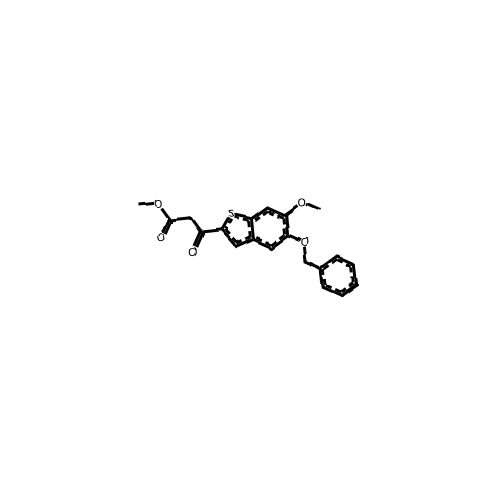 COC(=O)CC(=O)c1cc2cc(OCc3ccccc3)c(OC)cc2s1